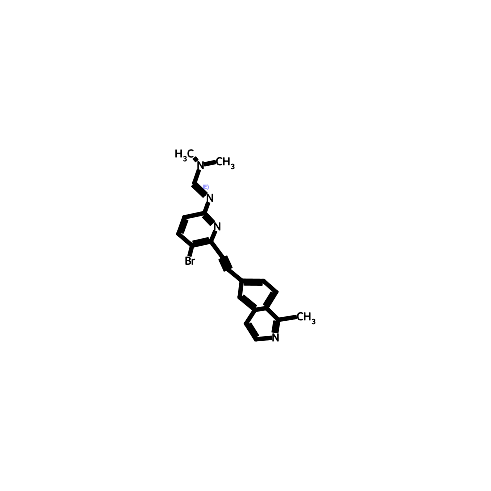 Cc1nccc2cc(C#Cc3nc(/N=C/N(C)C)ccc3Br)ccc12